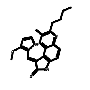 CCCCc1nc2ccc3c(c2nc1C)/C(=C\c1[nH]ccc1OC)C(=O)N3